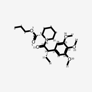 CCCOC(=O)[C@@H]1CCCCN1C(=O)[C@@H](CC)c1cc(OC)c(OC)c(OC)c1